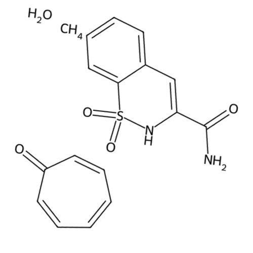 C.NC(=O)C1=Cc2ccccc2S(=O)(=O)N1.O.O=c1cccccc1